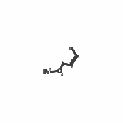 C/C=C\COC(C)C